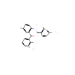 COc1ccc(CNc2ccc(C(F)(F)F)cc2C(O)c2cccc(OC)c2C)c(OC)c1